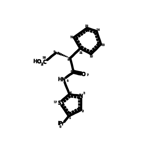 CC(C)c1cnc(NC(=O)[C@H](CC(=O)O)c2ccccc2)s1